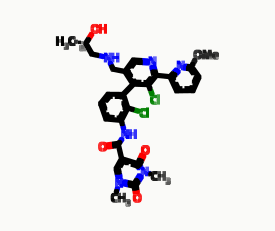 COc1cccc(-c2ncc(CNC[C@H](C)O)c(-c3cccc(NC(=O)c4cn(C)c(=O)n(C)c4=O)c3Cl)c2Cl)n1